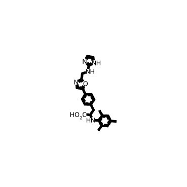 Cc1cc(C)c(NC(Cc2ccc(-c3cnc(CNc4ncc[nH]4)o3)cc2)C(=O)O)c(C)c1